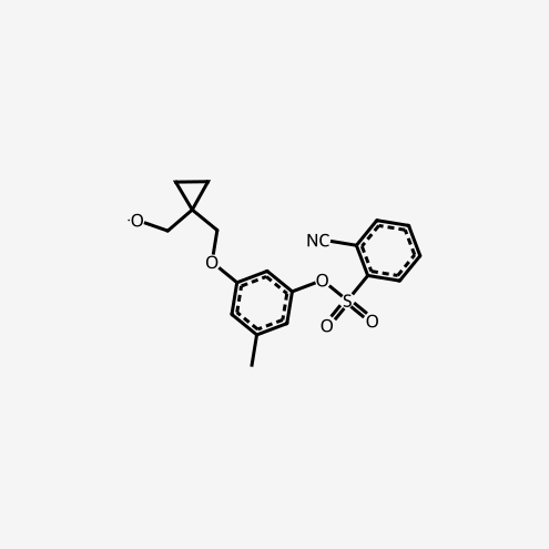 Cc1cc(OCC2(C[O])CC2)cc(OS(=O)(=O)c2ccccc2C#N)c1